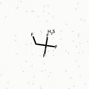 FCC(F)(F)F.S